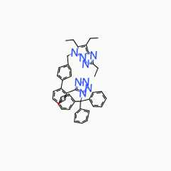 CCc1nc2c(CC)c(CC)n(Cc3ccc(-c4ccccc4-c4nnnn4C(c4ccccc4)(c4ccccc4)c4ccccc4)cc3)n2n1